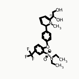 CCN(CC)S(=O)(=O)c1cc(C(F)(F)F)ccc1Oc1ccc(C2C=CC=C([C@H](O)CO)N2C)cc1